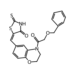 O=C1NC(=S)SC1=Cc1ccc2c(c1)N(C(=O)COCc1ccccc1)CCO2